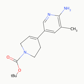 Cc1cc(C2=CCN(C(=O)OC(C)(C)C)CC2)cnc1N